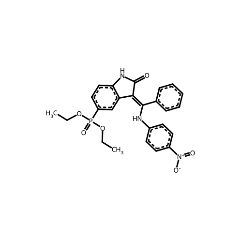 CCOP(=O)(OCC)c1ccc2c(c1)C(=C(Nc1ccc([N+](=O)[O-])cc1)c1ccccc1)C(=O)N2